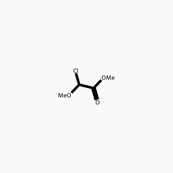 COC(=O)C(Cl)OC